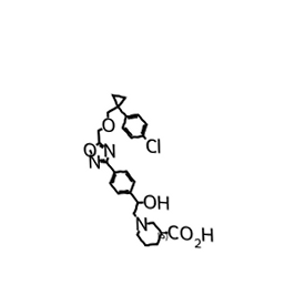 O=C(O)[C@H]1CCCN(CC(O)c2ccc(-c3noc(COCC4(c5ccc(Cl)cc5)CC4)n3)cc2)C1